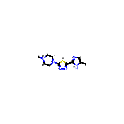 Cc1cnc(-c2nnc(N3CCN(C)CC3)s2)[nH]1